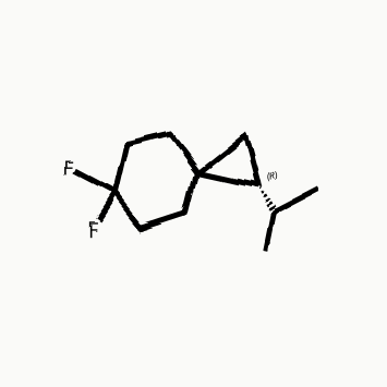 CC(C)[C@H]1CC12CCC(F)(F)CC2